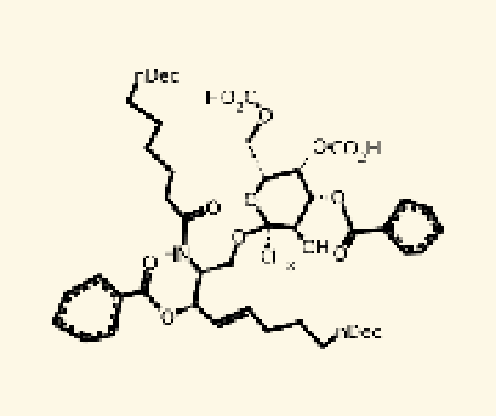 CCCCCCCCCCCCC/C=C/[C@@H](OC(=O)c1ccccc1)[C@H](CO[C@@]1(C)O[C@H](COC(=O)O)[C@H](OC(=O)O)[C@H](OC(=O)c2ccccc2)[C@H]1O)NC(=O)CCCCCCCCCCCCCCC